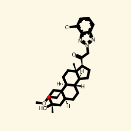 COCC[C@]12CC[C@@](C)(O)C[C@@H]1CC[C@H]1[C@@H]3CC[C@H](C(=O)Cn4nc5cccc(Cl)c5n4)[C@@]3(C)CC[C@@H]12